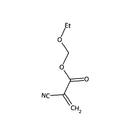 C=C(C#N)C(=O)OCOCC